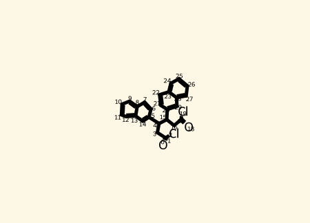 O=C(Cl)CC(c1ccc2ccccc2c1)C(CC(=O)Cl)c1ccc2ccccc2c1